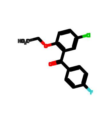 O=C(O)COc1ccc(Cl)cc1C(=O)c1ccc(F)cc1